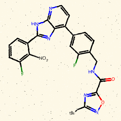 CC(C)(C)c1noc(C(=O)NCc2ccc(-c3ccnc4[nH]c(-c5cccc(F)c5[N+](=O)[O-])nc34)cc2F)n1